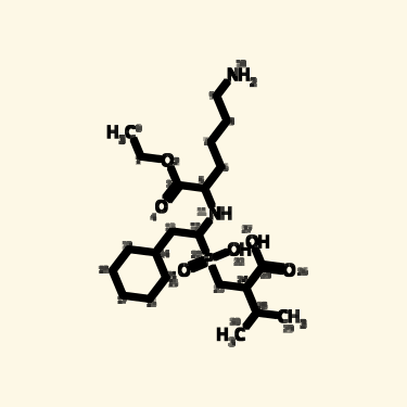 CCOC(=O)C(CCCCN)NC(CC1CCCCC1)P(=O)(O)CC(C(=O)O)C(C)C